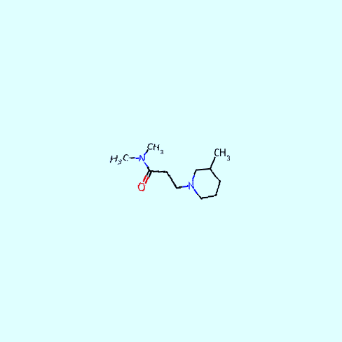 CC1CCCN(CCC(=O)N(C)C)C1